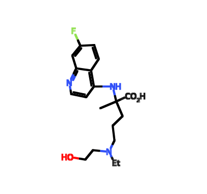 CCN(CCO)CCCC(C)(Nc1ccnc2cc(F)ccc12)C(=O)O